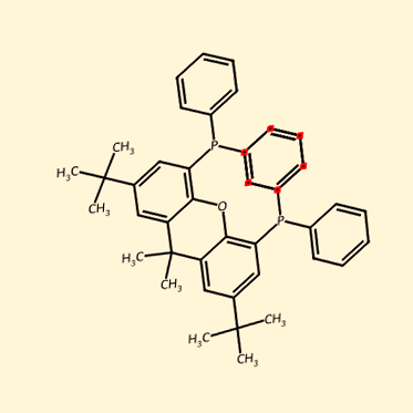 CC(C)(C)c1cc(P(c2ccccc2)c2ccccc2)c2c(c1)C(C)(C)c1cc(C(C)(C)C)cc(P(c3ccccc3)c3ccccc3)c1O2